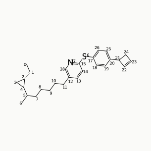 CC[C@H]1CC1C(C)CCCCCc1ccc(Sc2ccc(C3C=CC3)cc2)nc1